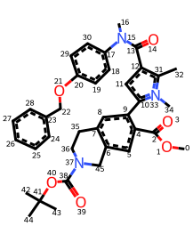 COC(=O)c1cc2c(cc1-c1cc(C(=O)N(C)c3ccc(OCc4ccccc4)cc3)c(C)n1C)CCN(C(=O)OC(C)(C)C)C2